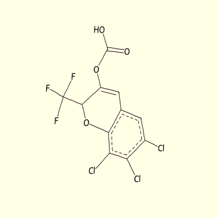 O=C(O)OC1=Cc2cc(Cl)c(Cl)c(Cl)c2OC1C(F)(F)F